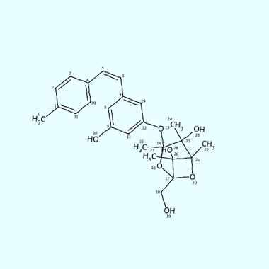 Cc1ccc(/C=C\c2cc(O)cc(OC3(C)OC4(CO)OC(C)(C3(C)O)C4(C)O)c2)cc1